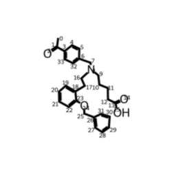 CC(=O)c1ccc(CN(CCCCC(=O)O)CCc2ccccc2OCc2ccccc2)cc1